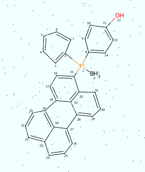 [BH3-][P+](c1ccccc1)(c1ccc(O)cc1)c1ccc2c3cccc4cccc(c5cccc1c52)c43